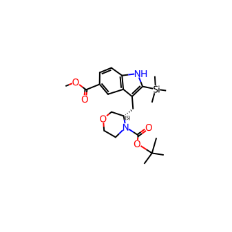 COC(=O)c1ccc2[nH]c([Si](C)(C)C)c(C[C@H]3COCCN3C(=O)OC(C)(C)C)c2c1